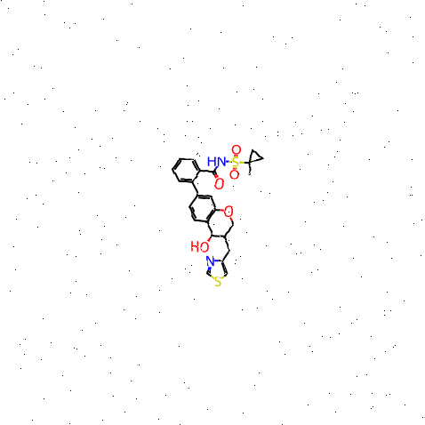 CC1(S(=O)(=O)NC(=O)c2ccccc2-c2ccc3c(c2)OCC(Cc2cscn2)[C@H]3O)CC1